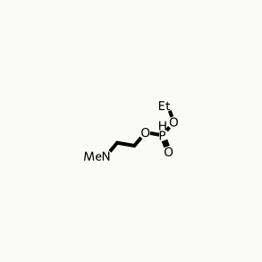 CCO[PH](=O)OCCNC